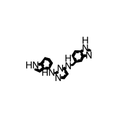 c1cc(Nc2nccc(NCc3ccc4[nH]cnc4c3)n2)c2cc[nH]c2c1